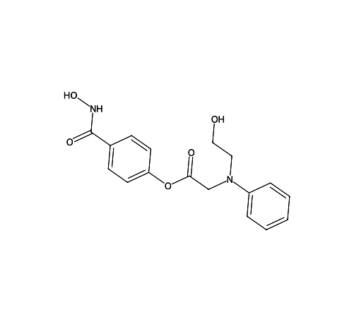 O=C(CN(CCO)c1ccccc1)Oc1ccc(C(=O)NO)cc1